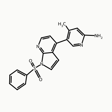 Cc1cc(N)ncc1-c1ccnc2c1ccn2S(=O)(=O)c1ccccc1